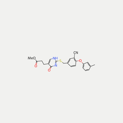 COC(=O)CCc1c[nH]c(SCc2ccc(Oc3cccc(C)c3)c(C#N)c2)nc1=O